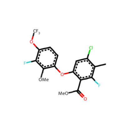 COC(=O)c1c(Oc2ccc(OC(F)(F)F)c(F)c2OC)cc(Cl)c(C)c1F